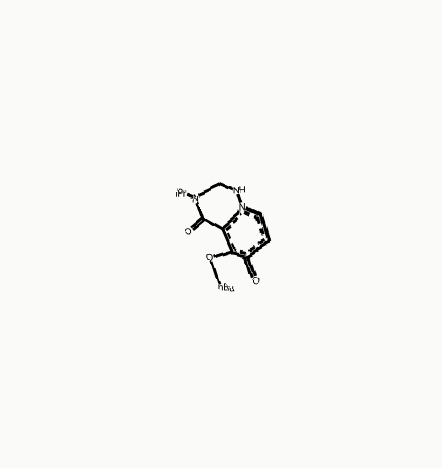 CCCCOc1c2n(ccc1=O)NCN(C(C)C)C2=O